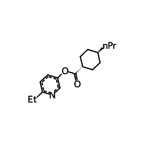 CCC[C@H]1CC[C@H](C(=O)Oc2ccc(CC)nc2)CC1